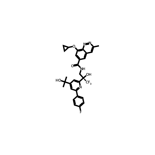 Cc1cc2cc(C(=O)NC[C@](O)(c3cc(C(C)(C)O)cc(-c4ccc(F)cc4)n3)C(F)(F)F)cc(OC3CC3)c2nn1